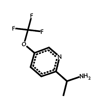 CC(N)c1ccc(OC(F)(F)F)cn1